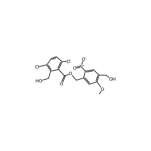 COc1cc(COC(=O)c2c(Cl)ccc(Cl)c2CO)c([N+](=O)[O-])cc1CO